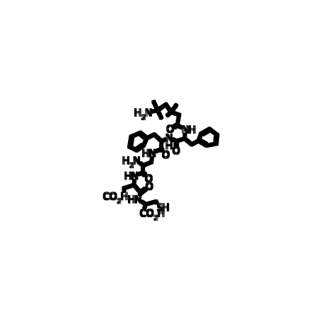 CC(C)(N)CC(C)(C)CC(=O)NC(Cc1ccccc1)C(=O)NC(Cc1ccccc1)C(=O)NCC(N)C(=O)NC(CC(=O)O)C(=O)NC(CS)C(=O)O